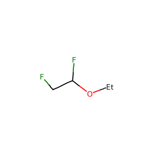 [CH2]COC(F)CF